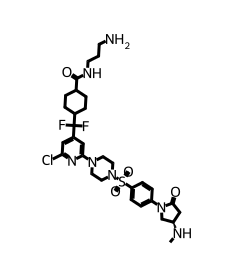 CN[C@@H]1CC(=O)N(c2ccc(S(=O)(=O)N3CCN(c4cc(C(F)(F)C5CCC(C(=O)NCCCN)CC5)cc(Cl)n4)CC3)cc2)C1